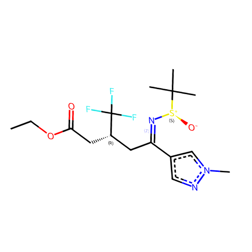 CCOC(=O)C[C@@H](C/C(=N/[S@+]([O-])C(C)(C)C)c1cnn(C)c1)C(F)(F)F